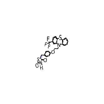 O=C1NC(=O)/C(=C\c2ccc(OCCN3c4ccccc4Sc4ccc(C(F)(F)F)cc43)cc2)S1